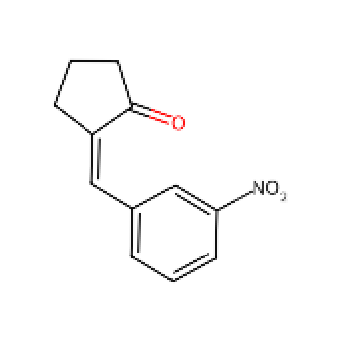 O=C1CCCC1=Cc1cccc([N+](=O)[O-])c1